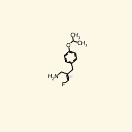 CC(C)Oc1ccc(C/C(=C/F)CN)cc1